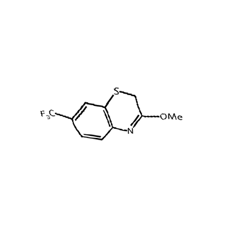 COC1=Nc2ccc(C(F)(F)F)cc2SC1